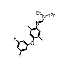 CCCN(C=Nc1cc(C)c(Oc2cc(F)cc(F)c2)cc1C)CC